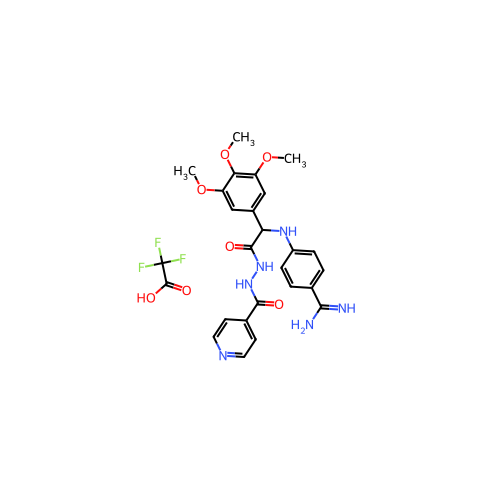 COc1cc(C(Nc2ccc(C(=N)N)cc2)C(=O)NNC(=O)c2ccncc2)cc(OC)c1OC.O=C(O)C(F)(F)F